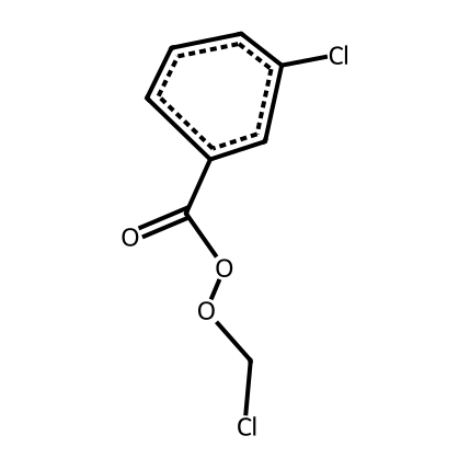 O=C(OOCCl)c1cccc(Cl)c1